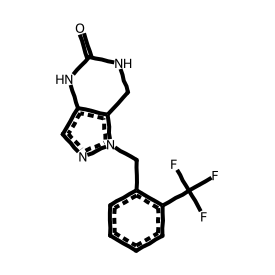 O=C1NCc2c(cnn2Cc2ccccc2C(F)(F)F)N1